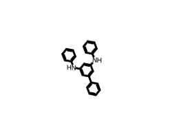 c1ccc(Nc2cc(Nc3ccccc3)cc(-c3ccccc3)c2)cc1